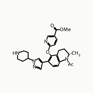 COC(=O)c1ccc(Oc2c(-c3cnn(C4CCNCC4)c3)ccc3c2CC[C@H](C)N3C(C)=O)nc1